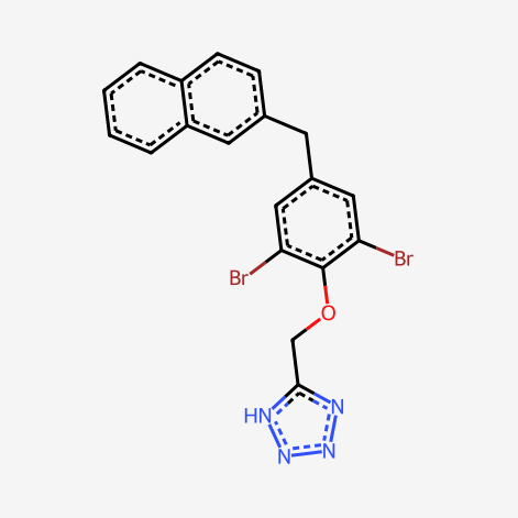 Brc1cc(Cc2ccc3ccccc3c2)cc(Br)c1OCc1nnn[nH]1